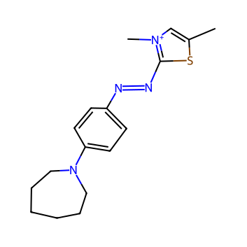 Cc1c[n+](C)c(/N=N/c2ccc(N3CCCCCC3)cc2)s1